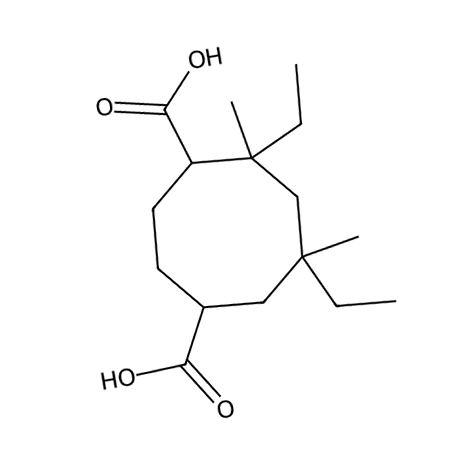 CCC1(C)CC(C(=O)O)CCC(C(=O)O)C(C)(CC)C1